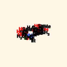 CCC1CC(C(=O)NC(C(C)Cl)C2O[C@H](SC)[C@@H](O)C(O)[C@H]2O)CN(CCCCCCN(C)[C@H]2[C@@H](O)[C@@H](NC)[C@H](O)C[C@@H]2O[C@@]2(O)C(=O)C[C@@H](C)O[C@H]2OC)C1